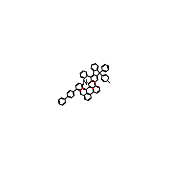 CC1C=CC(C2(c3ccccc3)c3ccccc3-c3c(-c4ccccc4N(c4ccc(-c5ccc(-c6ccccc6)cc5)cc4)c4ccccc4-c4cccc5cccc(-c6ccccc6)c45)cccc32)=CC1